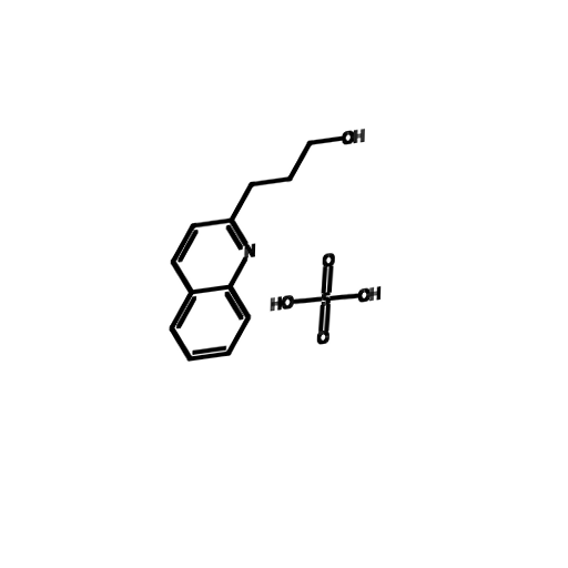 O=S(=O)(O)O.OCCCc1ccc2ccccc2n1